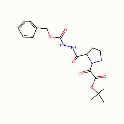 CC(C)(C)OC(=O)C(=O)N1CCCC1C(=O)NNC(=O)OCc1ccccc1